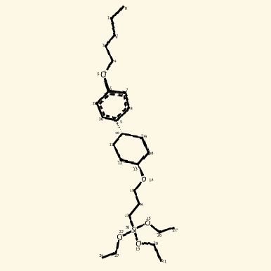 CCCCCOc1ccc([C@H]2CC[C@H](OCCC[Si](OCC)(OCC)OCC)CC2)cc1